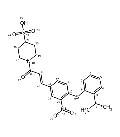 CC(C)c1ccccc1Sc1ccc(C=CC(=O)N2CCC(S(=O)(=O)O)CC2)cc1[N+](=O)[O-]